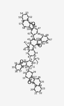 CC1(C)c2cc3c(cc2-c2c1cc(-c1ccc4oc5c6ccccc6ccc5c4c1)c1c2oc2ccccc21)C(C)(C)c1cc(-c2ccc4oc5c6ccccc6ccc5c4c2)c2c(oc4ccccc42)c1-3